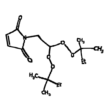 CCC(C)(C)OOC(CN1C(=O)C=CC1=O)OOC(C)(C)CC